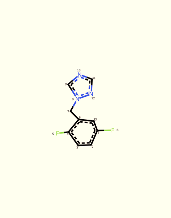 Fc1ccc(F)c(Cn2cncn2)c1